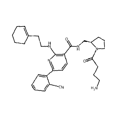 N#Cc1ccccc1-c1ccc(C(=O)NC[C@H]2CCCN2C(=O)CCCN)c(NCCC2=CCCCC2)n1